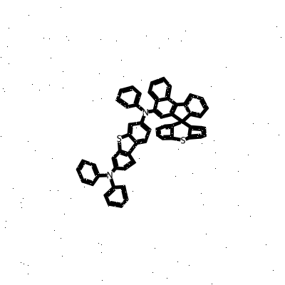 c1ccc(N(c2ccccc2)c2ccc3c(c2)sc2cc(N(c4ccccc4)c4cc5c(c6ccccc46)-c4ccccc4C54c5ccccc5Sc5ccccc54)ccc23)cc1